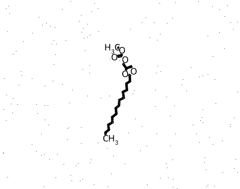 CCCCCCCCCCCCCCCC1OCC(COC(=O)OC)O1